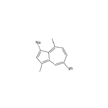 Cc1c[c]([Na])c2c(C)ccc(C(C)C)cc1-2